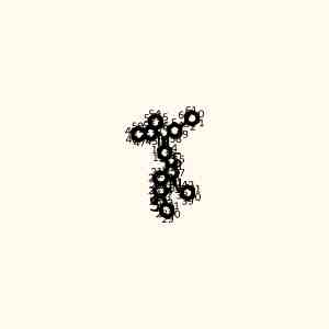 c1ccc(-c2ccc(N(c3ccc4c(c3)sc3cc5c6c(ccc7cc8sc9ccccc9c8c(c76)n5-c5ccccc5)c34)c3cc4ccccc4c4ccccc34)cc2)cc1